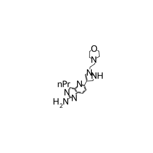 CCCc1nc(N)nc2ccc(C3=CN(CCN4CCOCC4)NC3)nc12